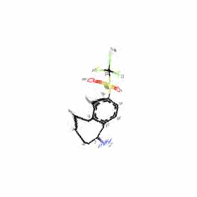 NC1CCCc2cc(S(=O)(=O)C(F)(F)F)ccc21